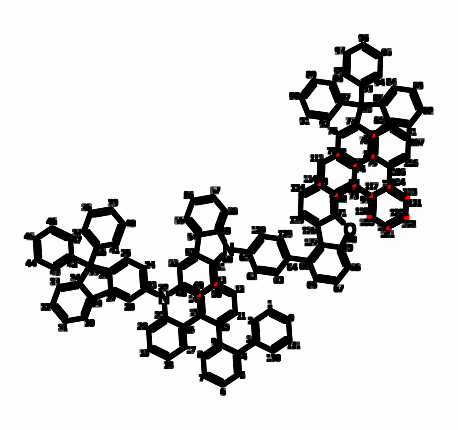 c1ccc(-c2ccccc2-c2ccccc2-c2ccccc2N(c2ccc3c(c2)-c2ccccc2C3(c2ccccc2)c2ccccc2)c2ccc3c(c2)c2ccccc2n3-c2ccc(-c3cccc4oc5c(N(c6ccc7c(c6)-c6ccccc6C7(c6ccccc6)c6ccccc6)c6ccccc6-c6ccccc6-c6ccccc6-c6ccccc6)cccc5c34)cc2)cc1